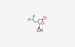 C#CC1OC(=O)CC1CC(F)F